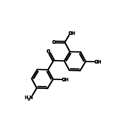 Nc1ccc(C(=O)c2ccc(O)cc2C(=O)O)c(O)c1